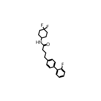 O=C(CCCc1ccc(-c2ccccc2F)cc1)NC1CCC(F)(F)CC1